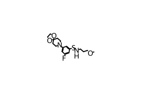 COCCCNSc1cc(F)cc(N2CCC3(CC2)OCCO3)c1